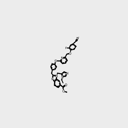 CCn1cncc1Cn1c(Cc2ccc(Oc3cccc(COc4ccc(C#N)cc4F)n3)cc2)nc2ccc(C(=O)OC)cc21